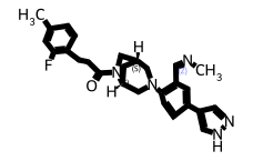 C/N=C\c1cc(-c2cn[nH]c2)ccc1N1C[C@@H]2C[C@@H](C1)N(C(=O)CCc1ccc(C)cc1F)C2